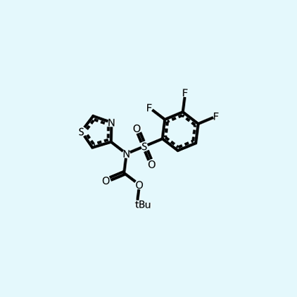 CC(C)(C)OC(=O)N(c1cscn1)S(=O)(=O)c1ccc(F)c(F)c1F